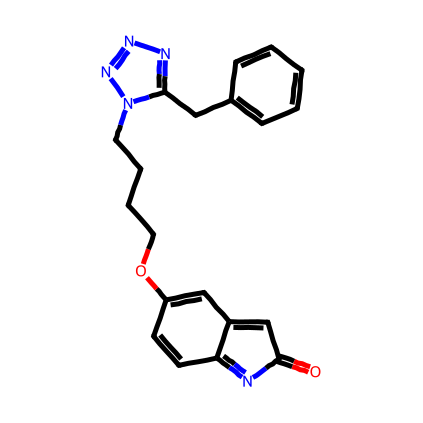 O=C1C=c2cc(OCCCCn3nnnc3Cc3ccccc3)ccc2=N1